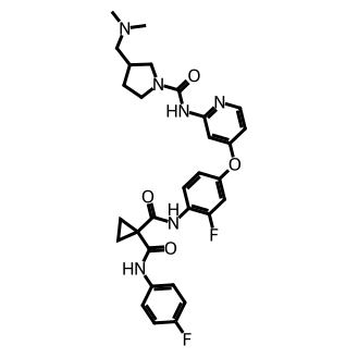 CN(C)CC1CCN(C(=O)Nc2cc(Oc3ccc(NC(=O)C4(C(=O)Nc5ccc(F)cc5)CC4)c(F)c3)ccn2)C1